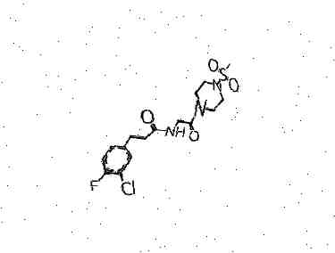 CS(=O)(=O)N1CCN(C(=O)CNC(=O)/C=C/c2ccc(F)c(Cl)c2)CC1